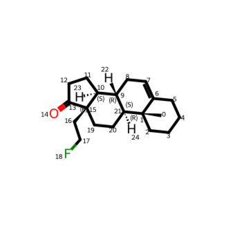 C[C@]12CCCCC1=CC[C@H]1[C@@H]3CCC(=O)[C@@]3(CCF)CC[C@@H]12